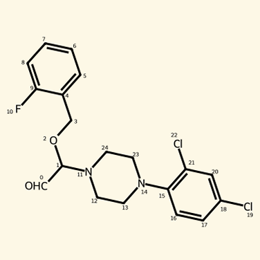 O=CC(OCc1ccccc1F)N1CCN(c2ccc(Cl)cc2Cl)CC1